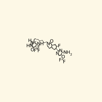 CCC(CCCn1ccc2cc(-c3ncc(OC(F)F)c(N)n3)c(F)cc2c1=O)Nc1cn[nH]c(=O)c1C(F)(F)F